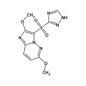 COc1ccc2nc(OC)c(S(=O)(=O)c3nc[nH]n3)n2n1